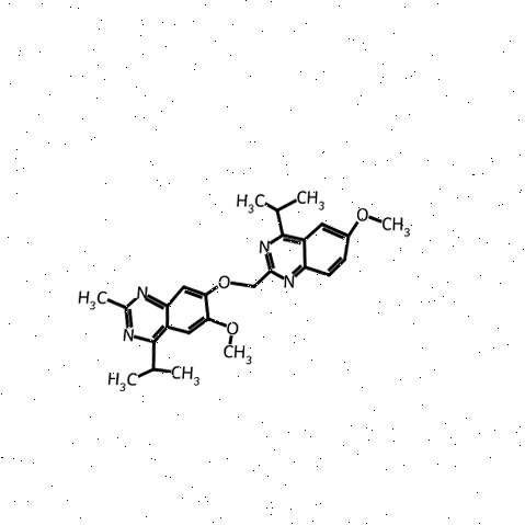 COc1ccc2nc(COc3cc4nc(C)nc(C(C)C)c4cc3OC)nc(C(C)C)c2c1